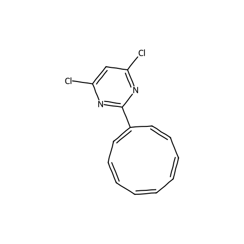 Clc1cc(Cl)nc(-c2ccccccccc2)n1